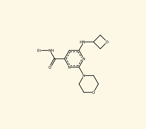 CCNC(=O)c1cc(NC2COC2)nc(N2CCOCC2)n1